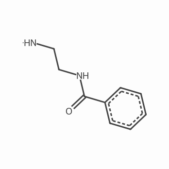 [NH]CCNC(=O)c1ccccc1